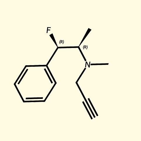 C#CCN(C)[C@H](C)[C@H](F)c1ccccc1